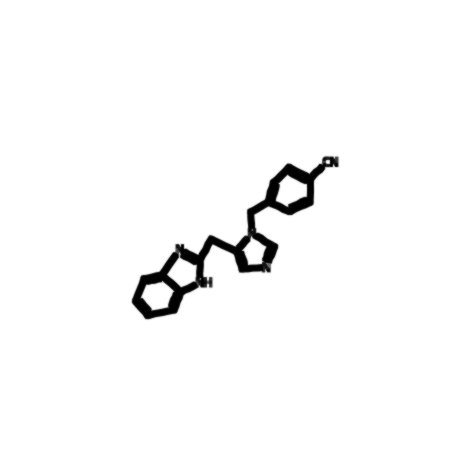 N#Cc1ccc(Cn2cncc2Cc2nc3ccccc3[nH]2)cc1